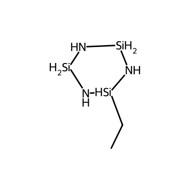 CC[SiH]1N[SiH2]N[SiH2]N1